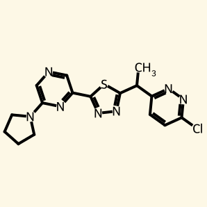 CC(c1ccc(Cl)nn1)c1nnc(-c2cncc(N3CCCC3)n2)s1